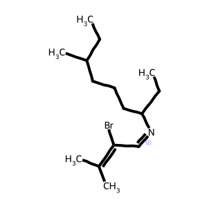 CCC(C)CCCC(CC)/N=C\C(Br)=C(C)C